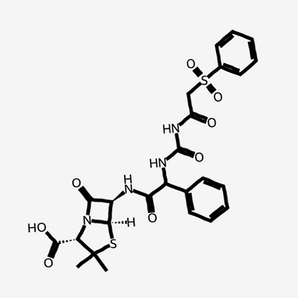 CC1(C)S[C@@H]2[C@H](NC(=O)C(NC(=O)NC(=O)CS(=O)(=O)c3ccccc3)c3ccccc3)C(=O)N2[C@H]1C(=O)O